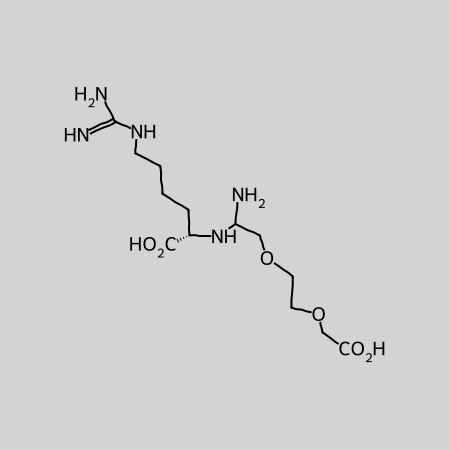 N=C(N)NCCCC[C@H](NC(N)COCCOCC(=O)O)C(=O)O